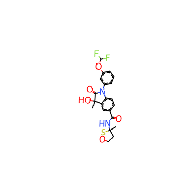 CC1(NC(=O)c2ccc3c(c2)C(C)(O)C(=O)N3c2cccc(OC(F)F)c2)CCOS1